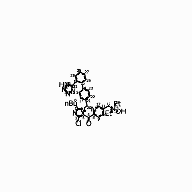 CCCCc1nc(Cl)c(C(=O)c2ccc(C[N+](O)(CC)CC)cn2)n1Cc1ccc(-c2ccccc2-c2nnn[nH]2)cc1